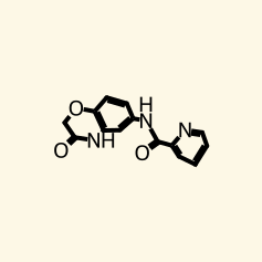 O=C1COc2ccc(NC(=O)c3ccccn3)cc2N1